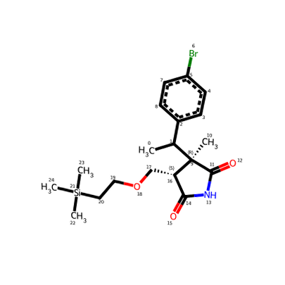 CC(c1ccc(Br)cc1)[C@@]1(C)C(=O)NC(=O)[C@@H]1COCC[Si](C)(C)C